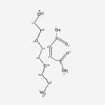 O=C(O)/C=C\C(=O)O.OCCOCCOCCO